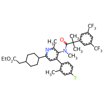 CCOC(=O)CC1CCC(c2cc(-c3ccc(F)cc3C)c(N(C)C(=O)C(C)(C)c3cc(C(F)(F)F)cc(C(F)(F)F)c3)c(C)n2)CC1